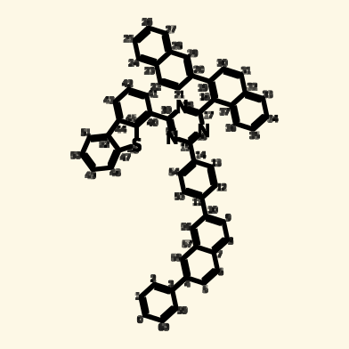 c1ccc(-c2ccc3ccc(-c4ccc(-c5nc(-c6c(-c7ccc8ccccc8c7)ccc7ccccc67)nc(-c6cccc7c6sc6ccccc67)n5)cc4)cc3c2)cc1